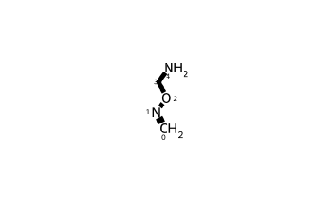 C=NOCN